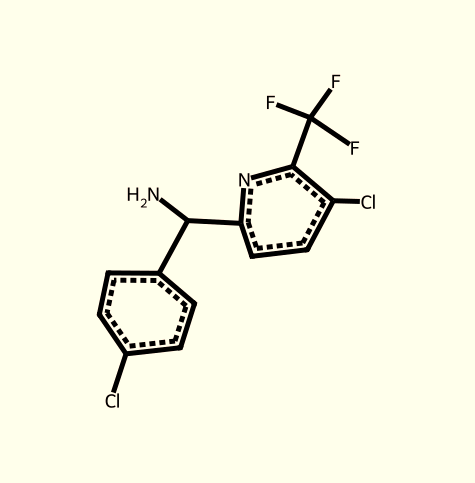 NC(c1ccc(Cl)cc1)c1ccc(Cl)c(C(F)(F)F)n1